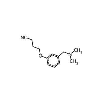 CN(C)Cc1cccc(OCCCC#N)c1